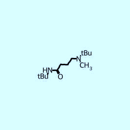 CN(CCCC(=O)NC(C)(C)C)C(C)(C)C